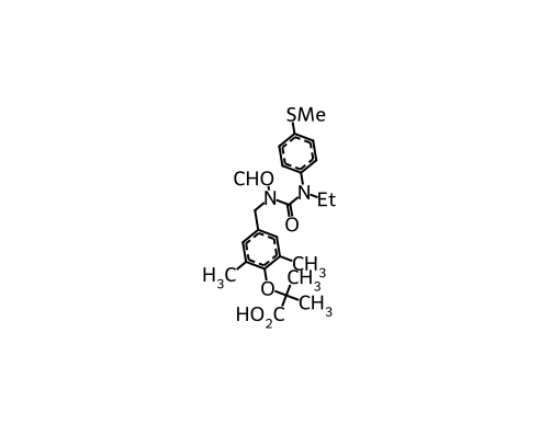 CCN(C(=O)N(C=O)Cc1cc(C)c(OC(C)(C)C(=O)O)c(C)c1)c1ccc(SC)cc1